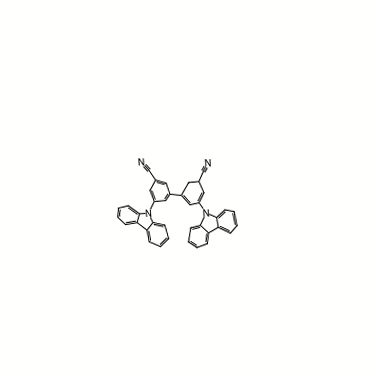 N#Cc1cc(C2=CC(n3c4ccccc4c4ccccc43)=CC(C#N)C2)cc(-n2c3ccccc3c3ccccc32)c1